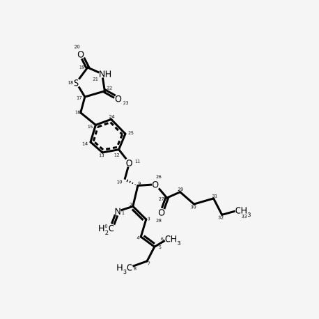 C=N/C(=C\C=C(/C)CC)[C@H](COc1ccc(CC2SC(=O)NC2=O)cc1)OC(=O)CCCCC